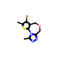 Cc1sc2c(c1Br)COCc1nnc(C)n1-2